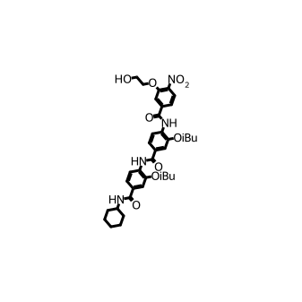 CC(C)COc1cc(C(=O)Nc2ccc(C(=O)NC3CCCCC3)cc2OCC(C)C)ccc1NC(=O)c1ccc([N+](=O)[O-])c(OCCO)c1